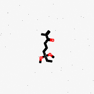 C=C(C)C(=O)CCC[Si](CC)(OC)OC